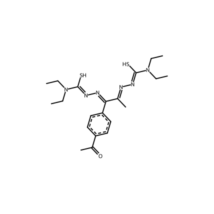 CCN(CC)/C(S)=N/N=C(C)/C(=N/N=C(\S)N(CC)CC)c1ccc(C(C)=O)cc1